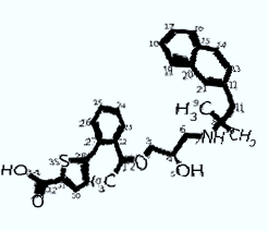 CC(OC[C@H](O)CNC(C)(C)Cc1ccc2ccccc2c1)c1ccccc1-c1ccc(C(=O)O)s1